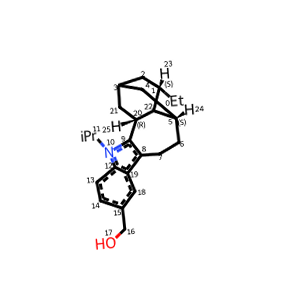 CC[C@H]1CC2C[C@@H]3CCc4c(n(C(C)C)c5ccc(CO)cc45)[C@H](C2)C13